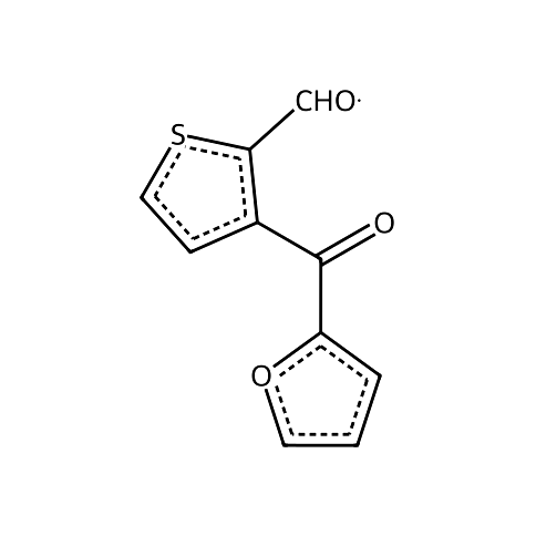 O=[C]c1sccc1C(=O)c1ccco1